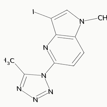 Cc1nnnn1-c1ccc2c(n1)c(I)cn2C